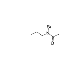 CCCN(Br)C(C)=O